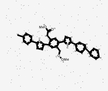 COOCc1cc(-c2ccc(-c3ccc(C)cc3)s2)c(CC(=O)OC)cc1-c1ccc(-c2ccc(-c3ccccc3)cc2)s1